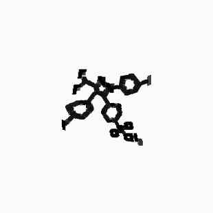 CS(=O)(=O)c1ccc(-c2c(-c3ccc(I)cc3)c(C(F)F)nn2-c2ccc(I)cc2)cc1